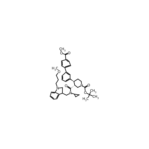 COCCCN1CC(CN(C(=O)[C@H]2CN(C(=O)OC(C)(C)C)CC[C@@H]2c2cccc(-c3ccc(C(=O)OC)cc3)c2)C2CC2)c2ccccc21